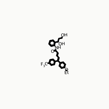 CCOc1ccc(C(=CC=CC(=O)Nc2ccccc2C(O)CCO)c2ccc(C(F)(F)F)cc2)cc1